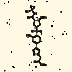 COC(=O)Cn1cc(-c2ccc(S(=O)(=O)[C@H]3CC(C(=O)NC4(C#N)CC4)[C@@H](OC)C3)c(C(F)(F)F)c2)cn1